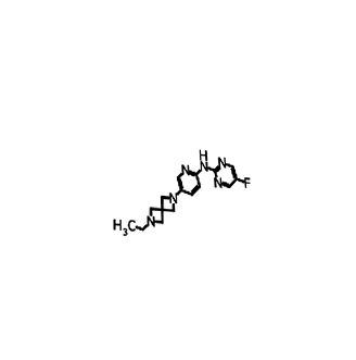 CCN1CC2(C1)CN(c1ccc(Nc3ncc(F)cn3)nc1)C2